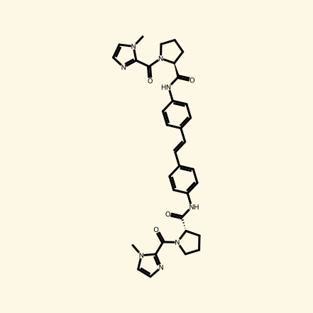 Cn1ccnc1C(=O)N1CCC[C@H]1C(=O)Nc1ccc(/C=C/c2ccc(NC(=O)[C@@H]3CCCN3C(=O)c3nccn3C)cc2)cc1